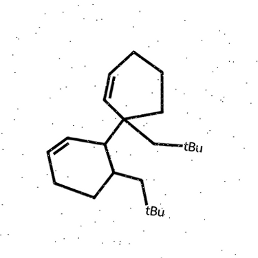 CC(C)(C)C[C]1CCC=CC1C1(CC(C)(C)C)C=CCCC1